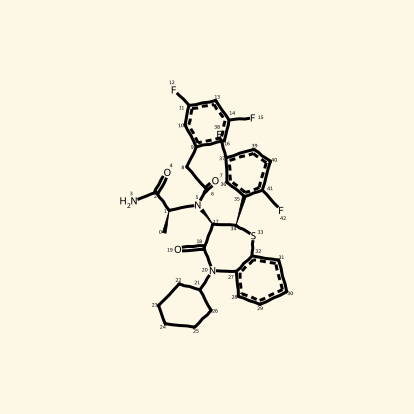 C[C@@H](C(N)=O)N(C(=O)Cc1cc(F)cc(F)c1)[C@@H]1C(=O)N(C2CCCCC2)c2ccccc2S[C@@H]1c1cc(F)ccc1F